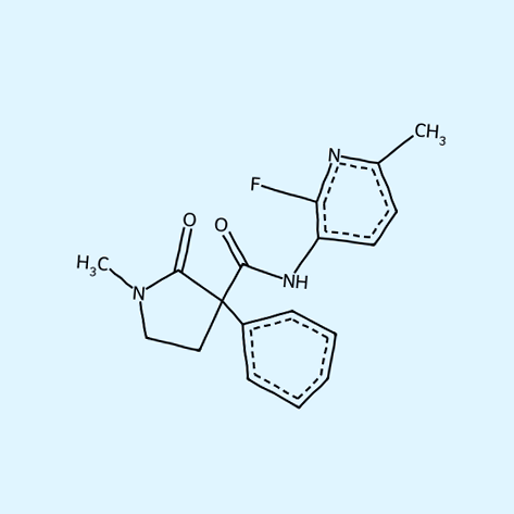 Cc1ccc(NC(=O)C2(c3ccccc3)CCN(C)C2=O)c(F)n1